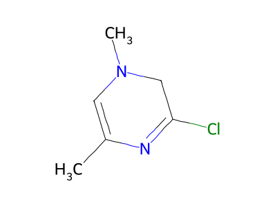 CC1=CN(C)CC(Cl)=N1